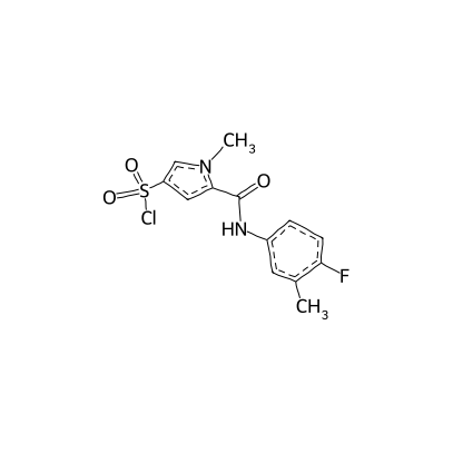 Cc1cc(NC(=O)c2cc(S(=O)(=O)Cl)cn2C)ccc1F